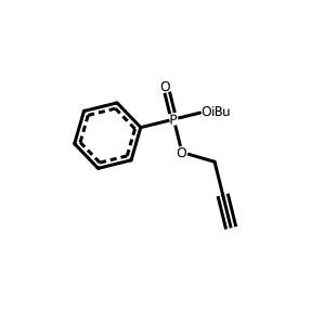 C#CCOP(=O)(OCC(C)C)c1ccccc1